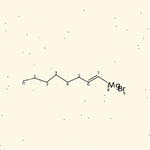 CCCCCCC=[CH][Mg][Br]